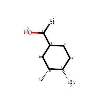 CCC(O)C1CCC([C@@H](C)CC)[C@H](C)C1